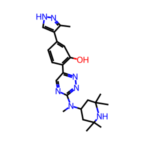 Cc1n[nH]cc1-c1ccc(-c2cnc(N(C)C3CC(C)(C)NC(C)(C)C3)nn2)c(O)c1